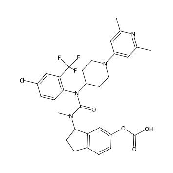 Cc1cc(N2CCC(N(C(=O)N(C)C3CCc4ccc(OC(=O)O)cc43)c3ccc(Cl)cc3C(F)(F)F)CC2)cc(C)n1